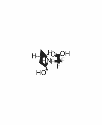 O=C(O)C(F)(F)F.OC[C@@H]1C[C@H]2C[C@H]2N1